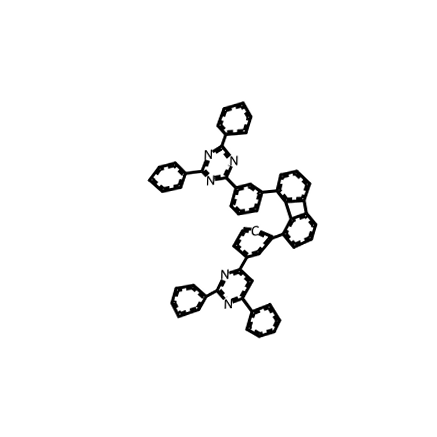 c1ccc(-c2cc(-c3cccc(-c4cccc5c4-c4c(-c6cccc(-c7nc(-c8ccccc8)nc(-c8ccccc8)n7)c6)cccc4-5)c3)nc(-c3ccccc3)n2)cc1